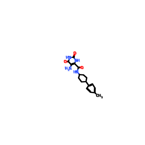 Cc1ccc(C2CCC(NC(=O)c3[nH]c(=O)[nH]c(=O)c3N)CC2)cc1